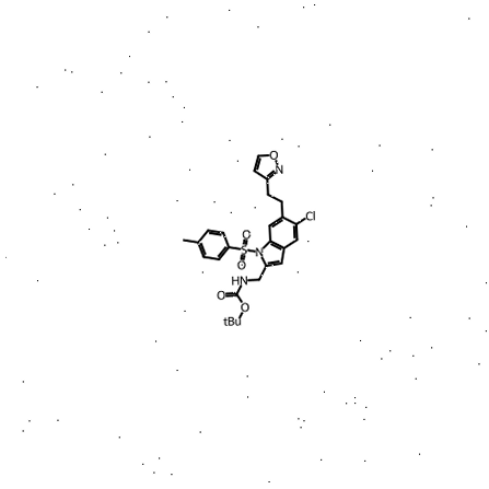 Cc1ccc(S(=O)(=O)n2c(CNC(=O)OC(C)(C)C)cc3cc(Cl)c(CCc4ccon4)cc32)cc1